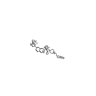 COCCN1CCC(C)(C(=O)Nc2cc3cc(-c4cnn(C)c4)ccc3cn2)CC1